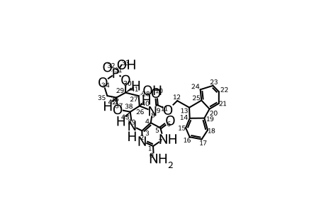 Nc1nc2c(c(=O)[nH]1)N(C(=O)OCC1c3ccccc3-c3ccccc31)[C@H]1[C@@H](O)[C@H]3OP(=O)(O)OC[C@H]3O[C@H]1N2